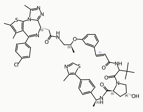 Cc1ncsc1-c1ccc([C@H](C)NC(=O)[C@@H]2C[C@@H](O)CN2C(=O)C(NC(=O)/C=C/c2cccc(O[C@@H](C)CNC(=O)C[C@@H]3N=C(c4ccc(Cl)cc4)c4c(sc(C)c4C)-n4c(C)nnc43)c2)C(C)(C)C)cc1